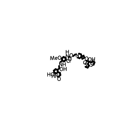 COc1cc(NC(=O)OCCN2CCC3(CC2)CC(OC(=O)C(O)(c2cccs2)c2cccs2)C3)c(Cl)cc1CNC[C@H](O)c1ccc(O)c2[nH]c(=O)ccc12